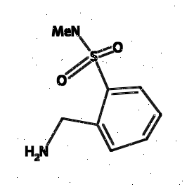 CNS(=O)(=O)c1ccccc1CN